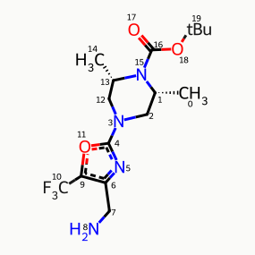 C[C@@H]1CN(c2nc(CN)c(C(F)(F)F)o2)C[C@H](C)N1C(=O)OC(C)(C)C